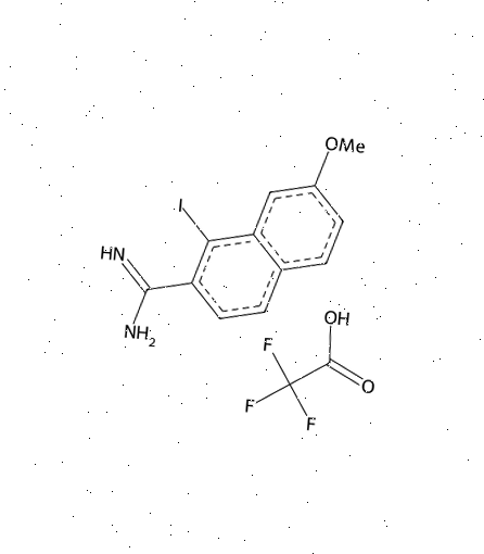 COc1ccc2ccc(C(=N)N)c(I)c2c1.O=C(O)C(F)(F)F